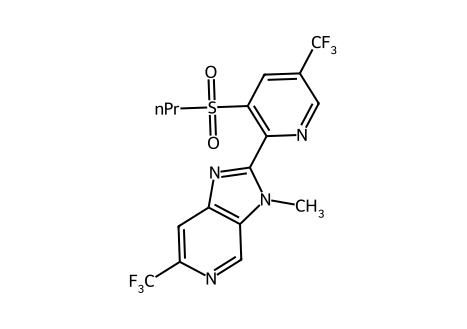 CCCS(=O)(=O)c1cc(C(F)(F)F)cnc1-c1nc2cc(C(F)(F)F)ncc2n1C